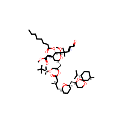 CCCCCCCC(=O)O[C@H]1/C(=C/C(=O)OC)C[C@@H](C[C@H](CO[Si](C)(C)C(C)(C)C)OC(=O)C[C@H](C)C[C@@H]2CCC[C@H](C[C@@H]3CCOC4(C[C@H](C)CC[C@H]4C(C)C)O3)O2)O[C@@]1(OC)C(C)(C)/C=C/C=O